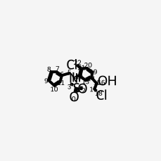 O=[SH](=O)CN(Cc1ccccc1)c1cc(C(O)CCl)ccc1Cl